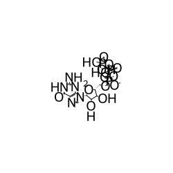 COP(=O)(OC[C@H]1O[C@@H](n2cnc3c(=O)[nH]c(N)nc32)C(O)C1O)OP(=O)(O)OP(=O)(O)O